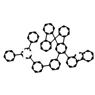 c1ccc(-c2nc(-c3ccccc3)nc(-c3cccc(-c4cccc(-c5cc6c(cc5-c5cccc7c5oc5ccccc57)-c5ccccc5C65c6ccccc6-c6ccccc65)c4)c3)n2)cc1